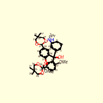 CCCNc1cccc(C(O)(c2cc(C3OCC(C)(C)CO3)ccc2OC)c2cc(C3OCC(C)(C)CO3)ccc2OCOC)c1